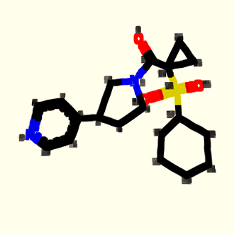 O=C(N1CCC(c2ccncc2)C1)C1(S(=O)(=O)C2CCCCC2)CC1